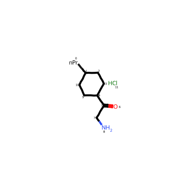 CCCC1CCC(C(=O)CN)CC1.Cl